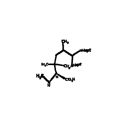 BN[C@H](C(=O)O)C(C)(C)CC(C)C(CCCCCCC)CCCCCCC